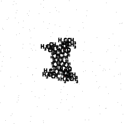 CC(C)(C)c1ccc(N(c2ccc(C(C)(C)C)cc2)c2cc3c(c4ccc5oc6ccccc6c5c24)-c2c(cc(N(c4ccc(C(C)(C)C)cc4)c4ccc(C(C)(C)C)cc4)c4c2ccc2oc5ccccc5c24)C32c3ccccc3-c3ccccc32)cc1